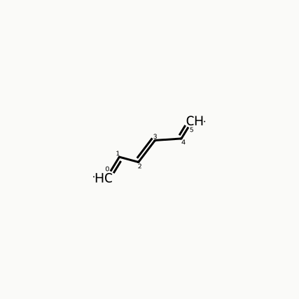 [CH]=CC=CC=[CH]